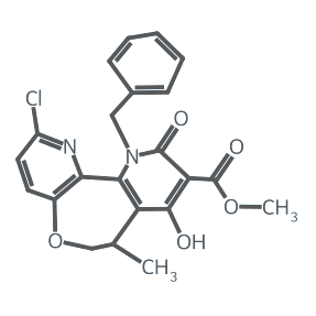 COC(=O)c1c(O)c2c(n(Cc3ccccc3)c1=O)-c1nc(Cl)ccc1OCC2C